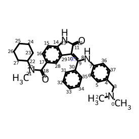 CN(C)Cc1ccc(N/C(=C2\C(=O)Nc3ccc(C(=O)N(C)C4CCCCC4)cc32)c2ccccc2)cc1